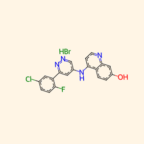 Br.Oc1ccc2c(Nc3cnnc(-c4cc(Cl)ccc4F)c3)ccnc2c1